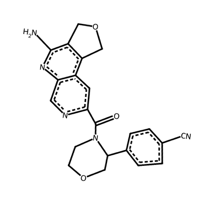 N#Cc1ccc(C2COCCN2C(=O)c2cc3c4c(c(N)nc3cn2)COC4)cc1